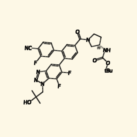 CC(C)(O)Cn1nnc2cc(-c3ccc(C(=O)N4CC[C@H](NC(=O)OC(C)(C)C)C4)cc3-c3ccc(C#N)c(F)c3)c(F)c(F)c21